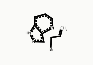 C=CCBr.c1cnc2cn[nH]c2c1